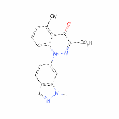 Cn1ncc2ccc(-n3nc(C(=O)O)c(=O)c4c(C#N)cccc43)cc21